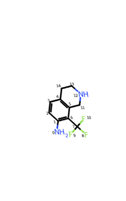 Nc1ccc2c(c1C(F)(F)F)CNCC2